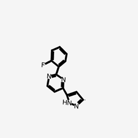 Fc1ccccc1-c1nccc(-c2c[c]n[nH]2)n1